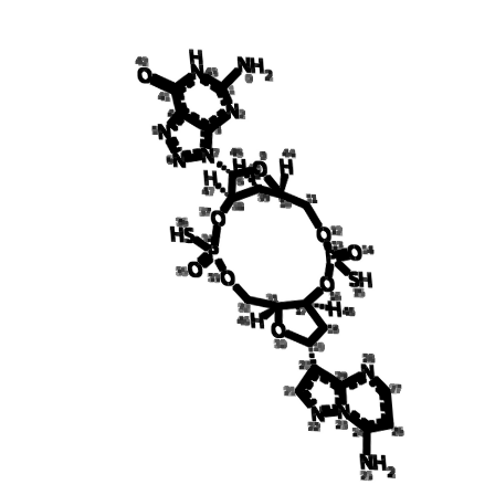 Nc1nc2c(nnn2[C@@H]2O[C@@H]3COP(=O)(S)O[C@H]4C[C@H](c5cnn6c(N)ccnc56)O[C@@H]4COP(=O)(S)O[C@@H]2[C@H]3F)c(=O)[nH]1